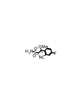 CO[C@@H](c1ccc(F)cc1C#N)[C@H](C)S(N)(=O)=O